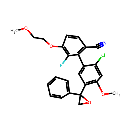 COCCOc1ccc(C#N)c(-c2cc(C3(c4ccccc4)CO3)c(OC)cc2Cl)c1F